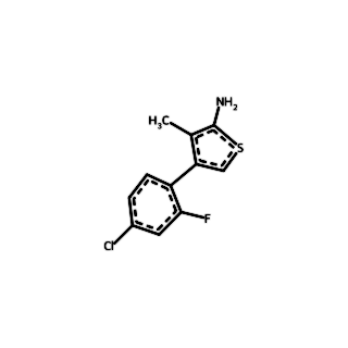 Cc1c(-c2ccc(Cl)cc2F)csc1N